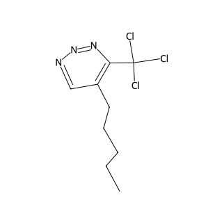 CCCCCc1cnnnc1C(Cl)(Cl)Cl